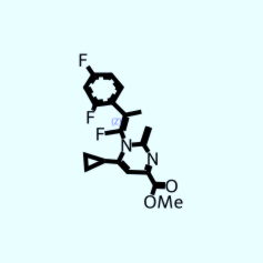 C=C1N=C(C(=O)OC)C=C(C2CC2)N1/C(F)=C(\C)c1ccc(F)cc1F